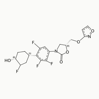 O=C1O[C@@H](COc2ccon2)CN1c1cc(F)c([C@H]2CC[C@@H](O)C(F)C2)c(F)c1F